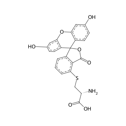 N[C@@H](CSc1cccc2c1C(=O)OC21c2ccc(O)cc2Oc2cc(O)ccc21)C(=O)O